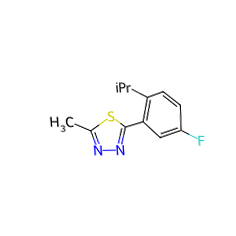 Cc1nnc(-c2cc(F)ccc2C(C)C)s1